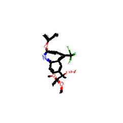 COC(C)(OC)C(C)(O)c1ccc2nc(OC(C)C)cc(C(F)(F)F)c2c1